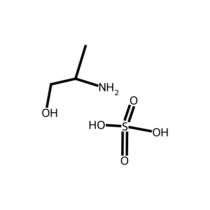 CC(N)CO.O=S(=O)(O)O